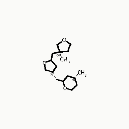 C[C@@H]1CCOC(C[C@@H]2COC(C[C@]3(C)CCOC3)C2)C1